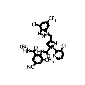 Cc1cc(C#N)cc(C(=O)NC(C)(C)C)c1NC(=O)c1cc(Cn2nnc3c(Cl)cc(C(F)(F)F)cc32)nn1-c1ncccc1Cl